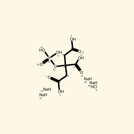 Cl.O=C(O)CC(CC(=O)O)(OP(=O)(O)O)C(=O)O.[NaH].[NaH].[NaH].[NaH]